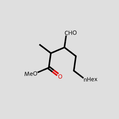 CCCCCCCCC(C=O)C(C)C(=O)OC